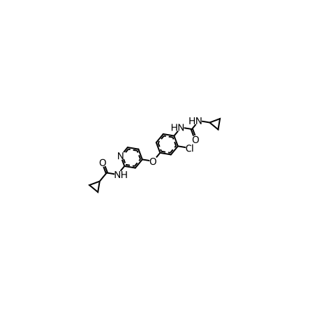 O=C(Nc1ccc(Oc2ccnc(NC(=O)C3CC3)c2)cc1Cl)NC1CC1